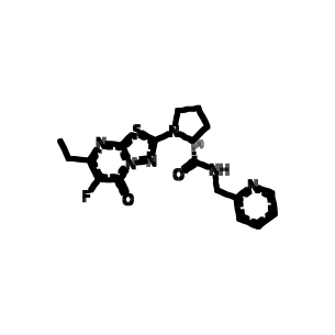 CCc1nc2sc(N3CCC[C@@H]3C(=O)NCc3ccccn3)nn2c(=O)c1F